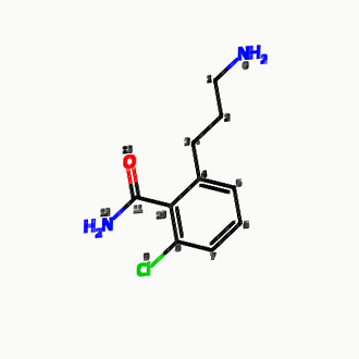 NCC[CH]c1cccc(Cl)c1C(N)=O